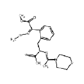 CON=C(C(=O)OC)c1ccccc1CN(N=C(C)N1CCOCC1)C(C)=O